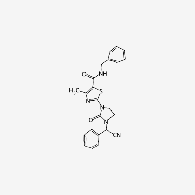 Cc1nc(N2CCN(C(C#N)c3ccccc3)C2=O)sc1C(=O)NCc1ccccc1